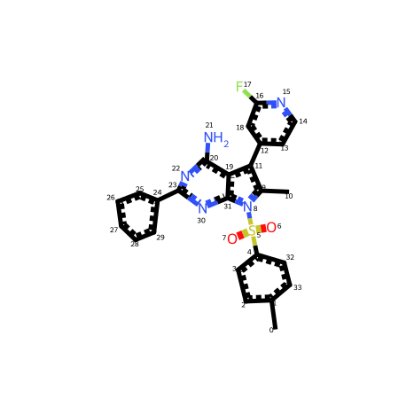 Cc1ccc(S(=O)(=O)n2c(C)c(-c3ccnc(F)c3)c3c(N)nc(-c4ccccc4)nc32)cc1